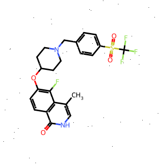 Cc1c[nH]c(=O)c2ccc(OC3CCN(Cc4ccc(S(=O)(=O)C(F)(F)F)cc4)CC3)c(F)c12